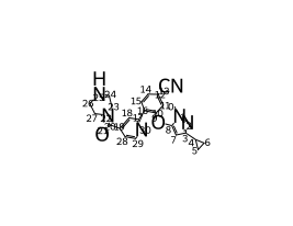 Cn1nc(C2CC2)cc1Oc1cc(C#N)ccc1-c1cc(C(=O)N2CCNCC2)ccn1